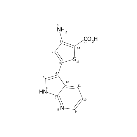 Nc1cc(-c2c[nH]c3ncccc23)sc1C(=O)O